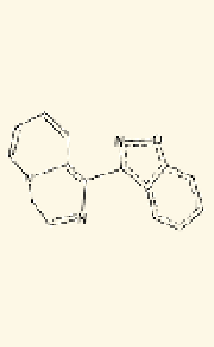 C1=CC2=C(c3noc4ccccc34)N=CCN2C=C1